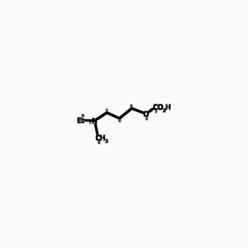 CCN(C)CCCOC(=O)O